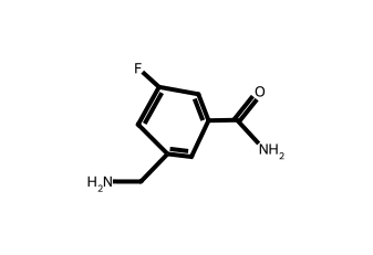 NCc1cc(F)cc(C(N)=O)c1